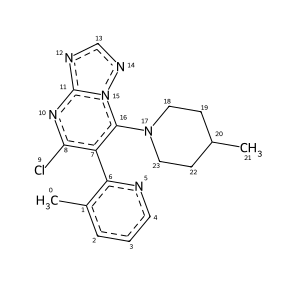 Cc1cccnc1-c1c(Cl)nc2ncnn2c1N1CCC(C)CC1